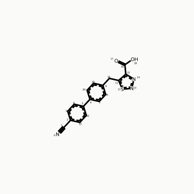 N#Cc1ccc(-c2ccc(Cc3snnc3C(=O)O)cc2)cc1